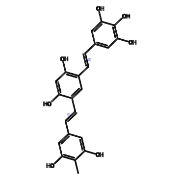 Cc1c(O)cc(/C=C/c2cc(/C=C/c3cc(O)c(O)c(O)c3)c(O)cc2O)cc1O